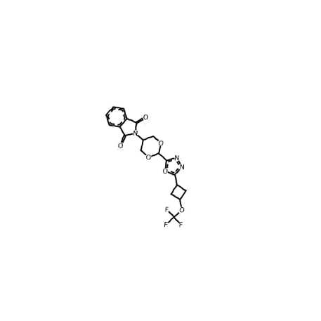 O=C1c2ccccc2C(=O)N1C1COC(c2nnc(C3CC(OC(F)(F)F)C3)o2)OC1